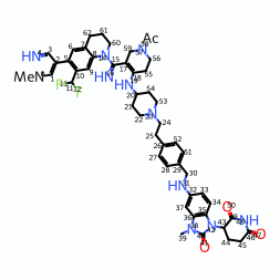 CN/C=C(\C=N)c1cc2c(cc1C(F)F)N(C(=N)C1=C(NC3CCN(CCc4ccc(CNc5ccc6c(c5)n(C)c(=O)n6C5CCC(=O)NC5=O)cc4)CC3)CCN(C(C)=O)C1)CCC2